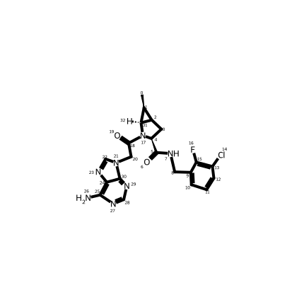 C[C@H]1C2C[C@@H](C(=O)NCc3cccc(Cl)c3F)N(C(=O)Cn3cnc4c(N)ncnc43)[C@H]21